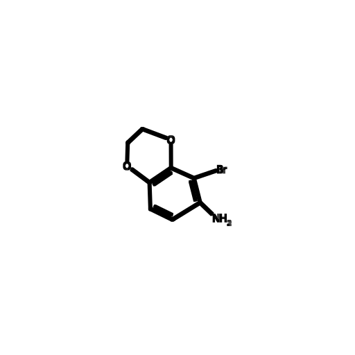 Nc1ccc2c(c1Br)OCCO2